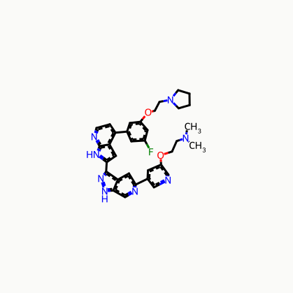 CN(C)CCOc1cncc(-c2cc3c(-c4cc5c(-c6cc(F)cc(OCCN7CCCC7)c6)ccnc5[nH]4)n[nH]c3cn2)c1